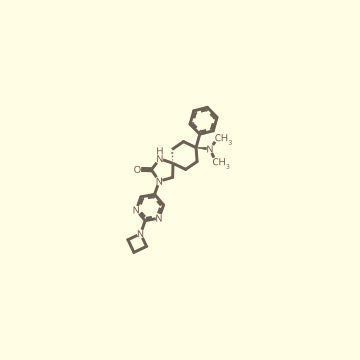 CN(C)[C@]1(c2ccccc2)CC[C@]2(CC1)CN(c1cnc(N3CCC3)nc1)C(=O)N2